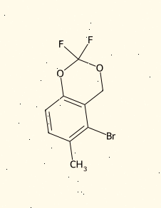 Cc1ccc2c(c1Br)COC(F)(F)O2